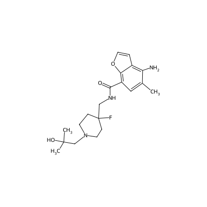 Cc1cc(C(=O)NCC2(F)CCN(CC(C)(C)O)CC2)c2occc2c1N